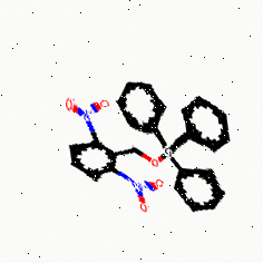 O=[N+]([O-])c1cccc([N+](=O)[O-])c1CO[Si](c1ccccc1)(c1ccccc1)c1ccccc1